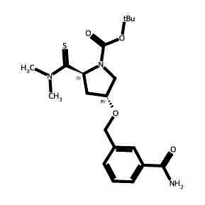 CN(C)C(=S)[C@@H]1C[C@@H](OCc2cccc(C(N)=O)c2)CN1C(=O)OC(C)(C)C